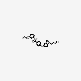 COc1cccc(NC(=O)c2ccc(Cc3ccc4c(ccn4CCCCl)c3)cc2)c1